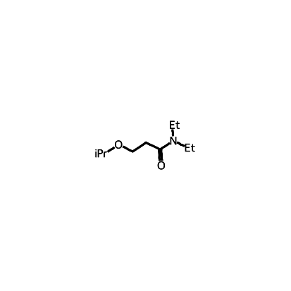 CCN(CC)C(=O)CCOC(C)C